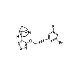 Fc1cc(Br)cc(C#CCOc2nsnc2[C@@H]2CN3CCC2CC3)c1